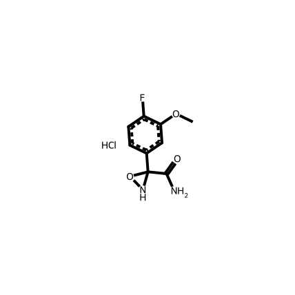 COc1cc(C2(C(N)=O)NO2)ccc1F.Cl